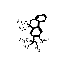 CC(C)(C)c1cc2c(cc1O)-c1ccccc1CC2(C)C